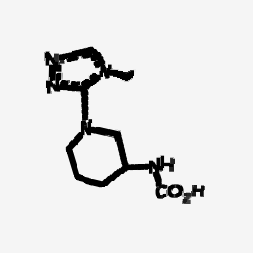 Cn1cnnc1N1CCCC(NC(=O)O)C1